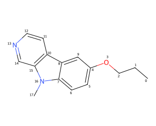 CCCOc1ccc2c(c1)c1ccncc1n2C